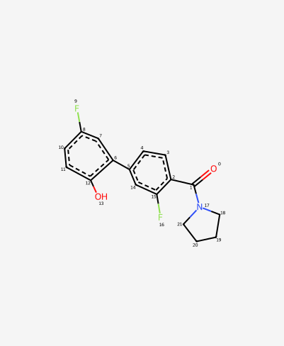 O=C(c1ccc(-c2cc(F)ccc2O)cc1F)N1CCCC1